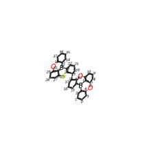 c1ccc2c(c1)Oc1cccc3c1B2c1cccc(-c2cccc4c2Sc2cccc5c2B4c2ccccc2O5)c1O3